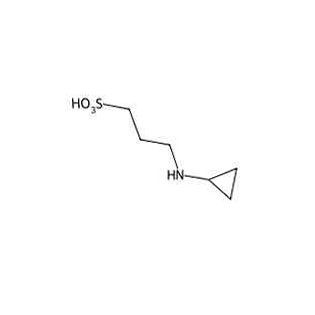 O=S(=O)(O)CCCNC1CC1